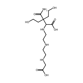 NC(=O)C(CCO)(CCO)C(NCCNCCNCC(=O)O)C(=O)O